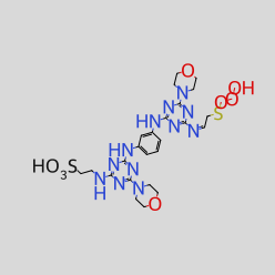 O=S(=O)(O)CCNc1nc(Nc2cccc(Nc3nc(/N=C\CSOOO)nc(N4CCOCC4)n3)c2)nc(N2CCOCC2)n1